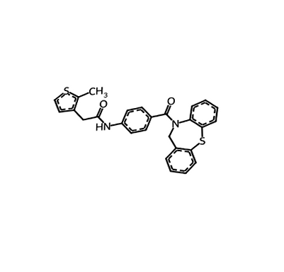 Cc1sccc1CC(=O)Nc1ccc(C(=O)N2Cc3ccccc3Sc3ccccc32)cc1